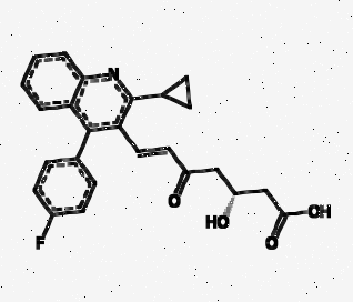 O=C(O)C[C@H](O)CC(=O)C=Cc1c(C2CC2)nc2ccccc2c1-c1ccc(F)cc1